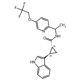 CC(NC(=O)[C@@H]1C[C@H]1c1c[nH]c2ccccc12)c1ccc(OCC(F)(F)F)cn1